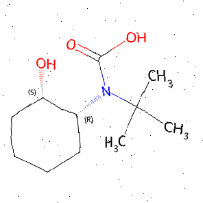 CC(C)(C)N(C(=O)O)[C@@H]1CCCC[C@@H]1O